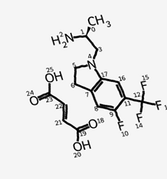 C[C@H](N)CN1CCc2cc(F)c(C(F)(F)F)cc21.O=C(O)/C=C/C(=O)O